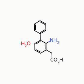 Nc1c(CC(=O)O)cccc1-c1ccccc1.O